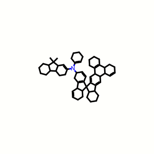 CC1(C)C2C=C(N(C3=CCCCC3)C3C=CC4=C(C3)C3C=CCCC3C43C4=CC5C6=C(CCCC6)C6CCC=CC6C5C=C4C4CCCCC43)CCC2C2CCCCC21